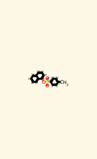 Cc1ccc(S(=O)(=O)Oc2cc[c]c3ccccc23)cc1